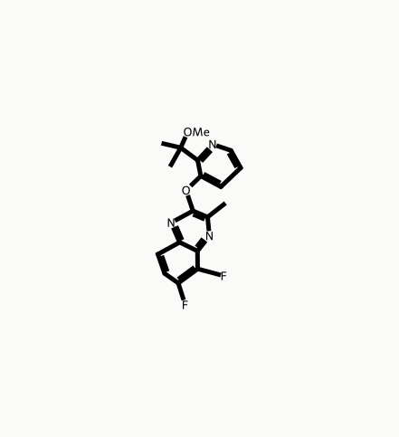 COC(C)(C)c1ncccc1Oc1nc2ccc(F)c(F)c2nc1C